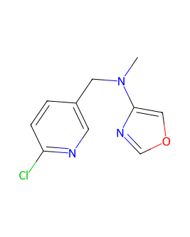 CN(Cc1ccc(Cl)nc1)c1cocn1